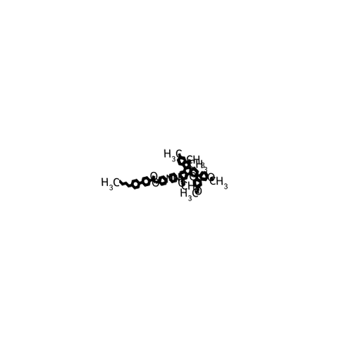 CCCCCC1CCC(C2CCC(C(=O)Oc3ccc(N4CCN(c5cc6c7c(c8c(c6cc5OC)OC(c5ccc(OC)cc5)(c5ccc(OC)cc5)C=C8)C(C)(C)c5cc(C)ccc5-7)CC4)cc3)CC2)CC1